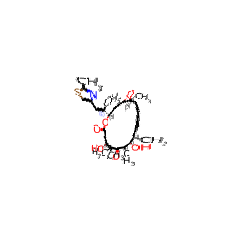 C/C(=C\c1csc(C)n1)[C@@H]1CC2O[C@@]2(C)CCC[C@H](C)[C@H](O)[C@@H](C)C(=O)C(C)(C)[C@@H](O)CC(=O)O1